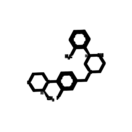 Cc1ccccc1[C@@H]1CN(Cc2ccc(N3CCOC[C@H]3C)c(F)c2)CCN1